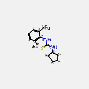 CCC(C)c1cccc(C(C)CC)c1NC(=S)NC1CCCC1